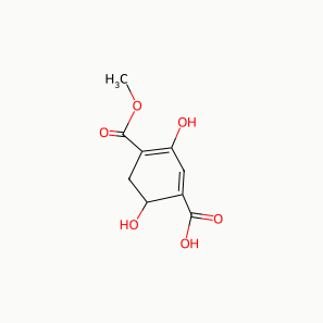 COC(=O)C1=C(O)C=C(C(=O)O)C(O)C1